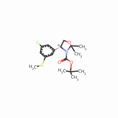 CSc1cc(F)cc([C@@H]2COC(C)(C)N2C(=O)OC(C)(C)C)c1